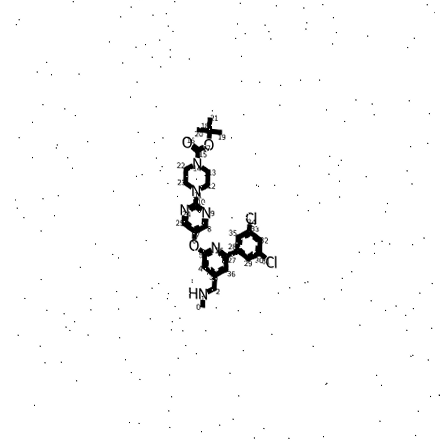 CNCc1cc(Oc2cnc(N3CCN(C(=O)OC(C)(C)C)CC3)nc2)nc(-c2cc(Cl)cc(Cl)c2)c1